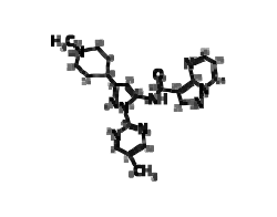 Cc1cnc(-n2nc(C3CCN(C)CC3)cc2NC(=O)c2cnn3cccnc23)nc1